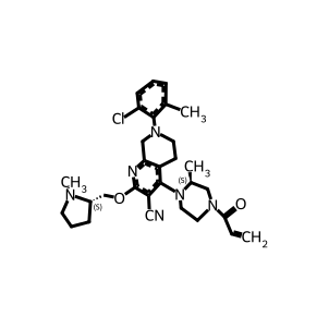 C=CC(=O)N1CCN(c2c(C#N)c(OC[C@@H]3CCCN3C)nc3c2CCN(c2c(C)cccc2Cl)C3)[C@@H](C)C1